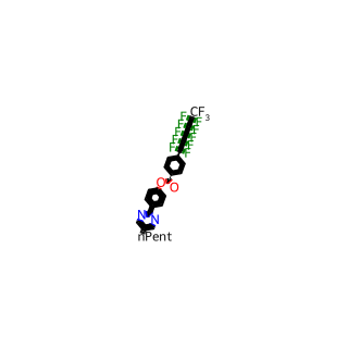 CCCCCc1cnc(-c2ccc(OC(=O)[C@H]3CC[C@H](C(F)(F)C(F)(F)C(F)(F)C(F)(F)C(F)(F)C(F)(F)F)CC3)cc2)nc1